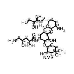 CN[C@@H]1C(O)[C@@H](OC2C(O)C(O[C@H]3O[C@H](CNC(=N)C(O)CO)CCC3N)[C@@H](N)C[C@H]2NC(=O)[C@@H](O)C[C@@H](O)CN)OCC1(C)O